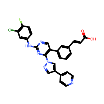 O=C(O)/C=C/c1cccc(-c2cnc(Nc3ccc(F)c(Cl)c3)nc2-n2cc(-c3ccncc3)cn2)c1